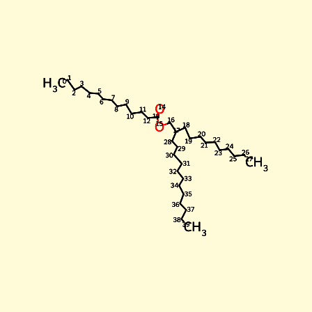 CCCCCCCCCCCCCC(=O)OCC(CCCCCCCCCC)CCCCCCCCCCCC